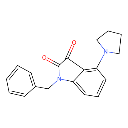 O=C1C(=O)N(Cc2ccccc2)c2cccc(N3CCCC3)c21